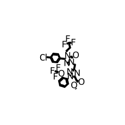 COC(=O)c1nc(Cn2nc(-c3ccc(Cl)cc3)n(CCC(F)(F)F)c2=O)nn1-c1ccccc1OC(F)(F)F